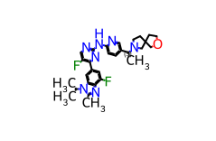 Cc1nc2c(F)cc(-c3nc(Nc4ccc([C@H](C)N5CCC6(CCOC6)C5)cn4)ncc3F)cc2n1C(C)C